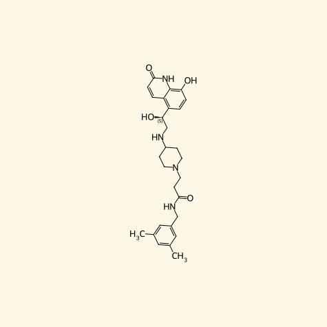 Cc1cc(C)cc(CNC(=O)CCN2CCC(NC[C@@H](O)c3ccc(O)c4[nH]c(=O)ccc34)CC2)c1